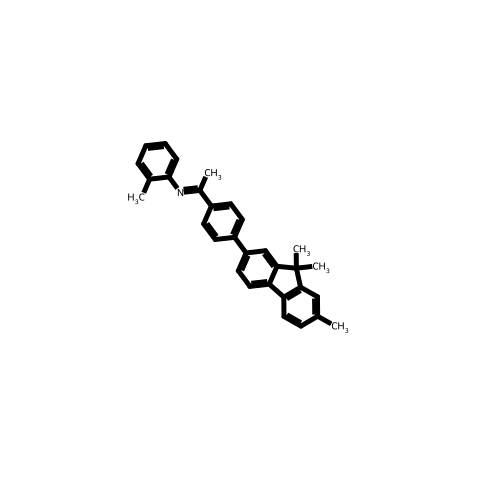 C/C(=N\c1ccccc1C)c1ccc(-c2ccc3c(c2)C(C)(C)c2cc(C)ccc2-3)cc1